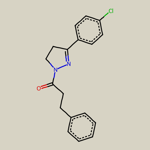 O=C(CCc1ccccc1)N1CCC(c2ccc(Cl)cc2)=N1